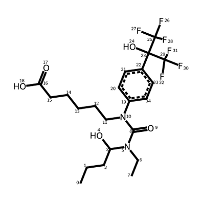 CCCC(O)N(CC)C(=O)N(CCCCCC(=O)O)c1ccc(C(O)(C(F)(F)F)C(F)(F)F)cc1